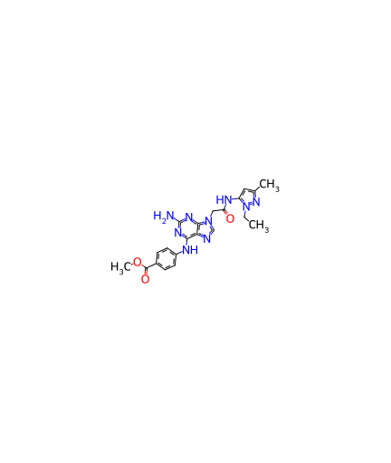 CCn1nc(C)cc1NC(=O)Cn1cnc2c(Nc3ccc(C(=O)OC)cc3)nc(N)nc21